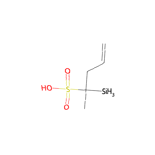 C=CCC(C)([SiH3])S(=O)(=O)O